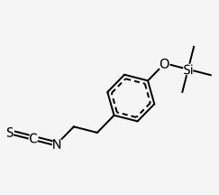 C[Si](C)(C)Oc1ccc(CCN=C=S)cc1